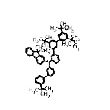 CC(C)(C)c1cccc(-c2cccc(N(c3cccc(-c4cc(-c5cc(C(C)(C)C)cc(C(C)(C)C)c5)cc(C(C)(C)C)c4)c3)c3ccc4c(c3)C(C)(C)c3ccccc3-4)c2)c1